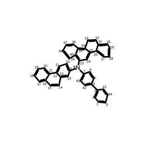 c1ccc(-c2ccc(N(c3ccc4c(ccc5ccccc54)c3)c3cc4c5ccccc5ccc4c4ccccc34)cc2)cc1